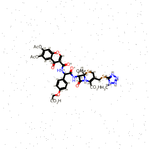 CO[C@@]1(NC(=O)C(NC(=O)c2coc3cc(OC(C)=O)c(OC(C)=O)cc3c2=O)c2ccc(OCC(=O)O)cc2)C(=O)N2C(C(=O)O)=C(CSc3nnnn3C)CS[C@H]21